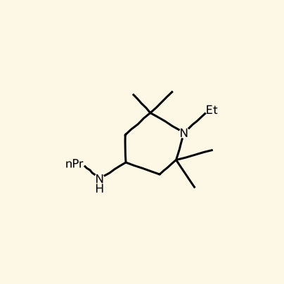 CCCNC1CC(C)(C)N(CC)C(C)(C)C1